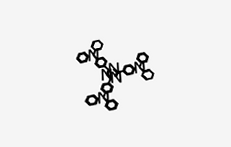 C1=CC(N(c2ccccc2)c2ccc(-c3nc(-c4ccc(N(C5=CCCC=C5)c5ccccc5)cc4)nc(-c4ccc(N(c5ccccc5)c5ccccc5)cc4)n3)cc2)=CCC1